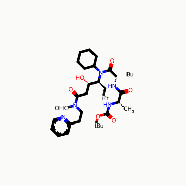 CC[C@H](C)[C@H](NC(=O)[C@H](C)NC(=O)OC(C)(C)C)C(=O)N(C1CCCCC1)[C@@H](CC(C)C)[C@@H](O)CC(=O)N(C=O)CCc1ccccn1